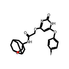 O=C(COc1cc(Oc2ccc(F)cc2)[nH]c(=O)n1)NC12CCC3CC(CC(C3)C1)C2